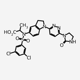 CC(C(=O)O)N(c1ccc2c(c1)CCN2c1ccc(N2CCNC2=O)nn1)S(=O)(=O)c1cc(Cl)cc(Cl)c1